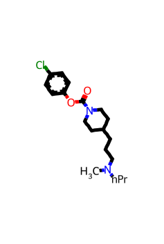 CCCN(C)CCCC1CCN(C(=O)Oc2ccc(Cl)cc2)CC1